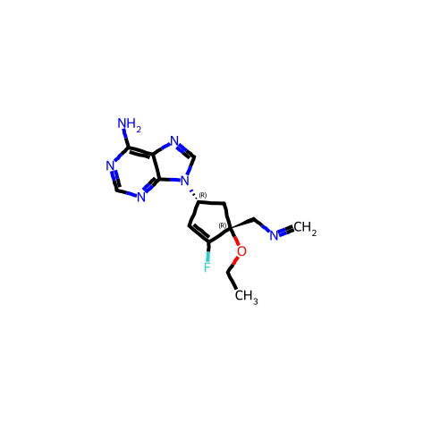 C=NC[C@]1(OCC)C[C@@H](n2cnc3c(N)ncnc32)C=C1F